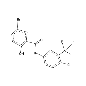 O=C(Nc1ccc(Cl)c(C(F)(F)F)c1)c1cc(Br)ccc1O